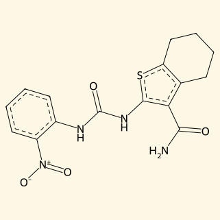 NC(=O)c1c(NC(=O)Nc2ccccc2[N+](=O)[O-])sc2c1CCCC2